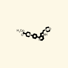 COC(=O)C1CCN(c2ccc(-c3nccc4[nH]c(CN5CCOCC5)cc34)cc2)CC1